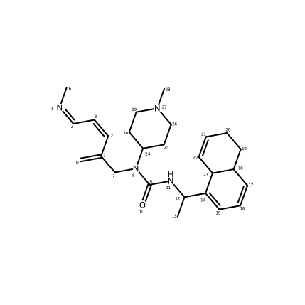 C=C(/C=C\C=N/C)CN(C(=O)NC(C)C1=CC=CC2CCC=CC12)C1CCN(C)CC1